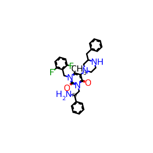 Cc1c(N2CCNC(Cc3ccccc3)C2)c(=O)n(C[C@H](N)c2ccccc2)c(=O)n1Cc1c(F)cccc1F